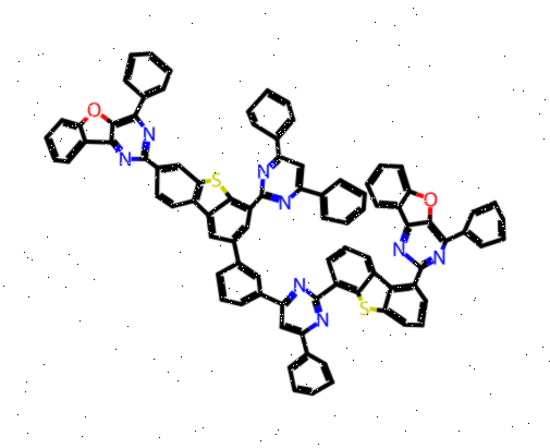 c1ccc(-c2cc(-c3ccccc3)nc(-c3cc(-c4cccc(-c5cc(-c6ccccc6)nc(-c6cccc7c6sc6cccc(-c8nc(-c9ccccc9)c9oc%10ccccc%10c9n8)c67)n5)c4)cc4c3sc3cc(-c5nc(-c6ccccc6)c6oc7ccccc7c6n5)ccc34)n2)cc1